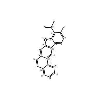 Cc1ccc2c(oc3cc4ccc5ccccc5c4cc32)c1C(C)C